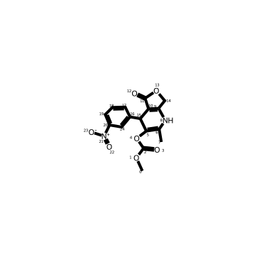 COC(=O)OC1=C(C)NC2=C(C(=O)OC2)C1c1cccc([N+](=O)[O-])c1